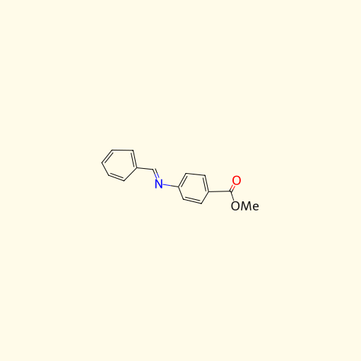 COC(=O)c1ccc(/N=C/c2ccccc2)cc1